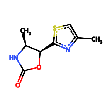 Cc1csc([C@H]2OC(=O)N[C@H]2C)n1